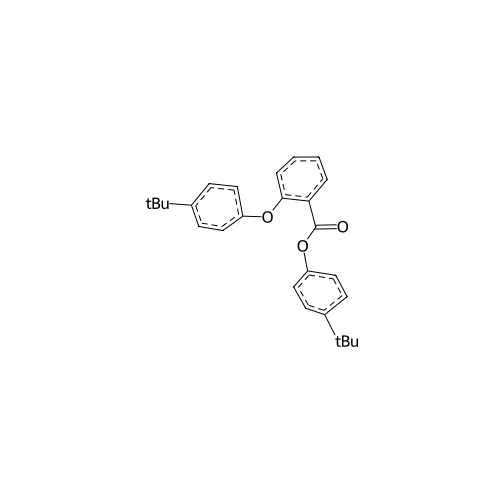 CC(C)(C)c1ccc(OC(=O)c2ccccc2Oc2ccc(C(C)(C)C)cc2)cc1